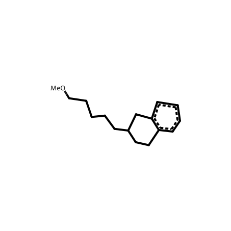 COCCCCCC1CCc2ccccc2C1